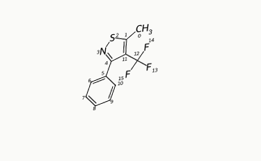 Cc1snc(-c2ccccc2)c1C(F)(F)F